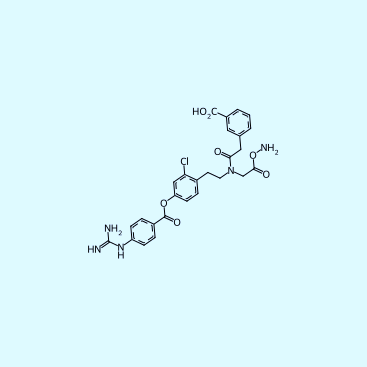 N=C(N)Nc1ccc(C(=O)Oc2ccc(CCN(CC(=O)ON)C(=O)Cc3cccc(C(=O)O)c3)c(Cl)c2)cc1